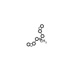 CN(c1cccc(-c2ccc3c(c2)-c2ccccc2C3)c1)c1cccc(-c2ccc3c(c2)-c2ccccc2C3)c1